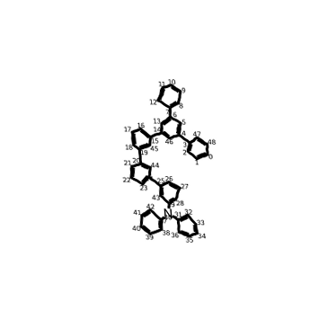 c1ccc(-c2cc(-c3ccccc3)cc(-c3cccc(-c4cccc(-c5cccc(N(c6ccccc6)c6ccccc6)c5)c4)c3)c2)cc1